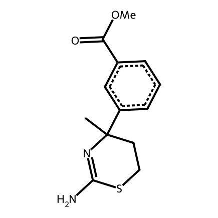 COC(=O)c1cccc(C2(C)CCSC(N)=N2)c1